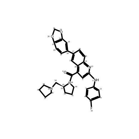 O=C(c1cc(Nc2ccc(F)cc2)nc2ccc(-c3ccc4c(c3)OCO4)cc12)N1CCC[C@H]1CN1CCCC1